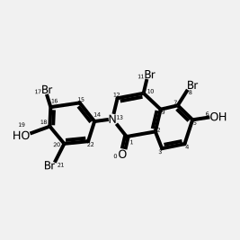 O=c1c2ccc(O)c(Br)c2c(Br)cn1-c1cc(Br)c(O)c(Br)c1